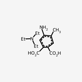 CCN(CC)CC.Cc1cc(C(=O)O)c(C(=O)O)cc1N